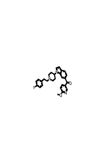 COc1ccc(C(=O)c2ccc3ccn(C4CCN(CCc5ccc(F)cc5)CC4)c3c2)cn1